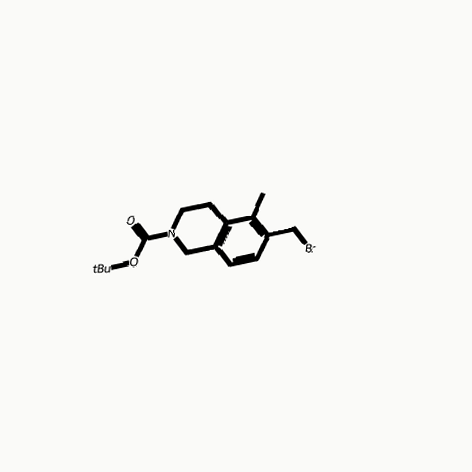 Cc1c(CBr)ccc2c1CCN(C(=O)OC(C)(C)C)C2